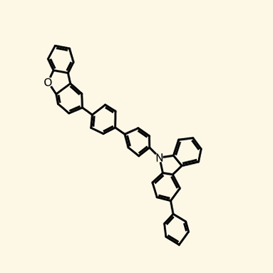 c1ccc(-c2ccc3c(c2)c2ccccc2n3-c2ccc(-c3ccc(-c4ccc5oc6ccccc6c5c4)cc3)cc2)cc1